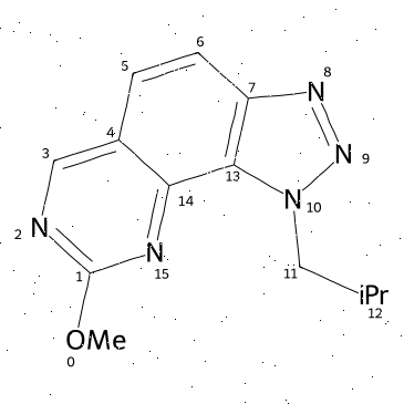 COc1ncc2ccc3nnn(CC(C)C)c3c2n1